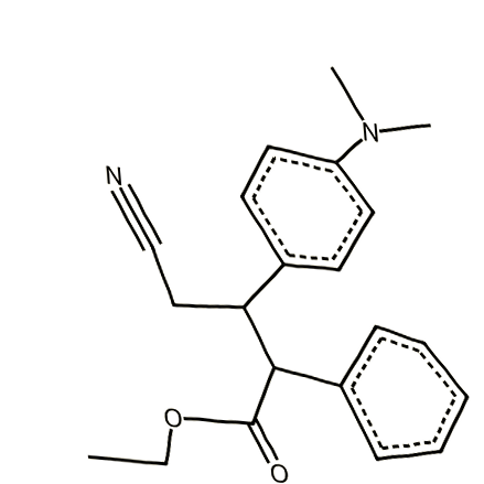 CCOC(=O)C(c1ccccc1)C(CC#N)c1ccc(N(C)C)cc1